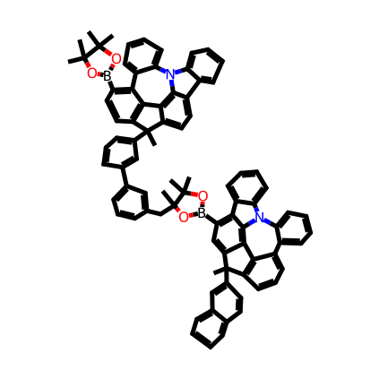 CC1(c2cccc(-c3cccc(CC4(C)OB(c5cc6c7c8c5c5ccccc5n8-c5ccccc5-c5cccc(c5-7)C6(C)c5ccc6ccccc6c5)OC4(C)C)c3)c2)c2ccc(B3OC(C)(C)C(C)(C)O3)c3c2-c2c1ccc1c4ccccc4n(c21)-c1ccccc1-3